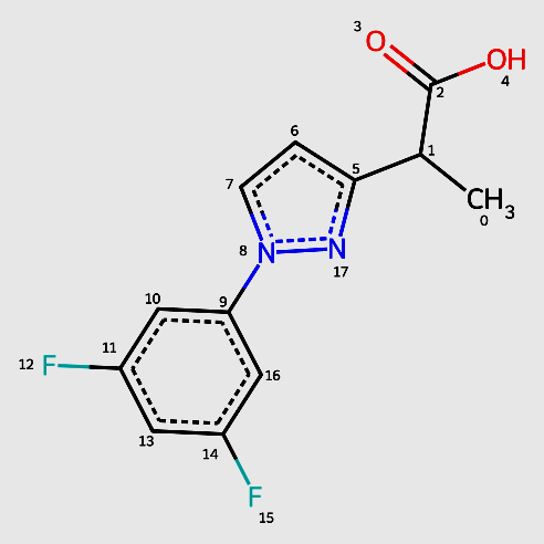 CC(C(=O)O)c1ccn(-c2cc(F)cc(F)c2)n1